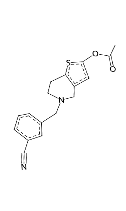 CC(=O)Oc1cc2c(s1)CCN(Cc1cccc(C#N)c1)C2